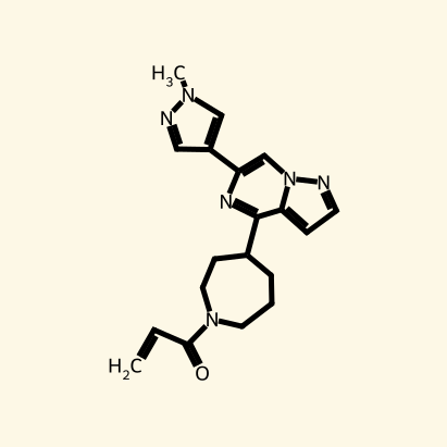 C=CC(=O)N1CCCC(c2nc(-c3cnn(C)c3)cn3nccc23)CC1